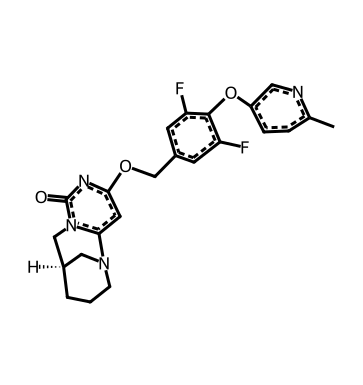 Cc1ccc(Oc2c(F)cc(COc3cc4n(c(=O)n3)C[C@@H]3CCCN4C3)cc2F)cn1